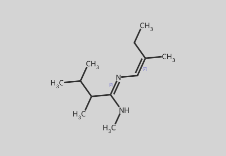 CC/C(C)=C\N=C(/NC)C(C)C(C)C